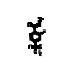 CS(=O)(=O)c1ccc(C(Cl)=NO)c(F)c1